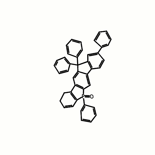 O=P1(c2ccccc2)C2=C(CCC=C2)c2cc3c(cc21)-c1ccc(-c2ccccc2)cc1C3(c1ccccc1)c1ccccc1